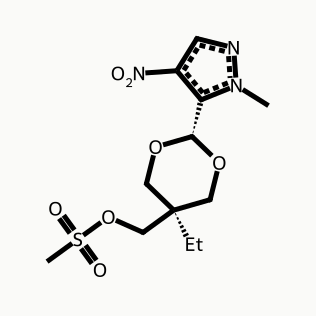 CC[C@]1(COS(C)(=O)=O)CO[C@H](c2c([N+](=O)[O-])cnn2C)OC1